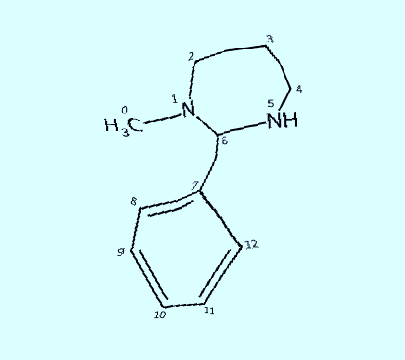 CN1CCCNC1c1ccccc1